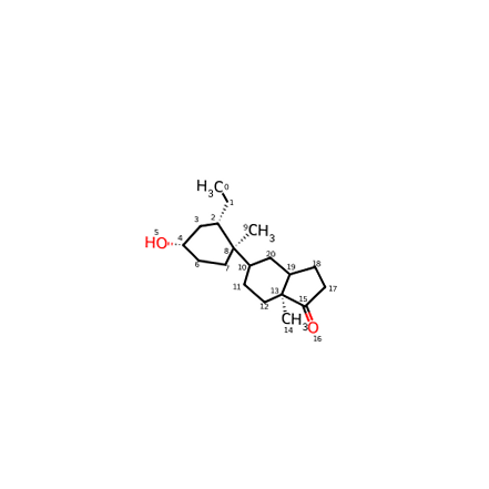 CC[C@H]1C[C@@H](O)CC[C@]1(C)C1CC[C@]2(C)C(=O)CCC2C1